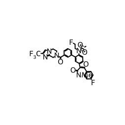 CNC(=O)c1c(-c2ccc(F)cc2)oc2cc(N(CCF)S(C)(=O)=O)c(-c3cccc(C(=O)N4CCn5cc(C(F)(F)F)nc5C4)c3)cc12